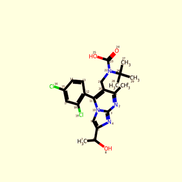 Cc1nc2nc(C(C)O)cn2c(-c2ccc(Cl)cc2Cl)c1CN(C(=O)O)C(C)(C)C